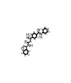 N[C@H](CC(=O)N[C@@H]1COc2ccccc21)c1ccc(C(=O)Nc2ccncc2)cc1